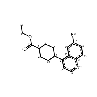 CCOC(=O)C1CCC(c2ccnc3ccc(F)cc23)CC1